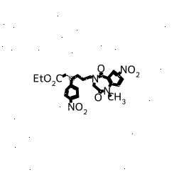 CCOC(=O)C[C@H](CCCN1CC(=O)N(C)c2ccc([N+](=O)[O-])cc2C1=O)c1ccc([N+](=O)[O-])cc1